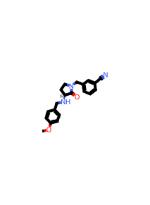 COc1ccc(CN[C@H]2CCN(Cc3cccc(C#N)c3)C2=O)cc1